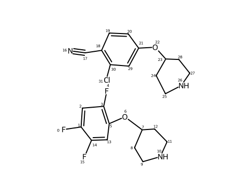 Fc1cc(F)c(OC2CCNCC2)cc1F.N#Cc1ccc(OC2CCNCC2)cc1Cl